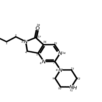 CCCN1Cc2nc(N3CCNCC3)ncc2C1=O